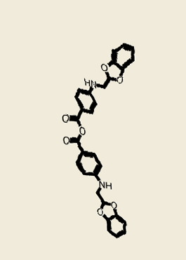 O=C(OC(=O)c1ccc(NCC2Oc3ccccc3O2)cc1)c1ccc(NCC2Oc3ccccc3O2)cc1